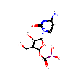 Nc1ccn([C@@H]2O[C@H](OC(=O)P(O)O)[C@@H](CO)[C@H]2O)c(=O)n1